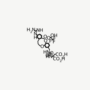 N=C(N)Nc1ccc2c(c1)CCCOc1cc(CNS(=O)(=O)N[C@@H](CC(=O)O)C(=O)O)ccc1OC2=O.O=C(O)C(F)(F)F